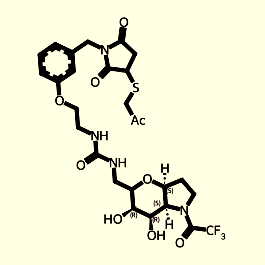 CC(=O)CSC1CC(=O)N(Cc2cccc(OCCNC(=O)NCC3O[C@H]4CCN(C(=O)C(F)(F)F)[C@H]4[C@@H](O)[C@H]3O)c2)C1=O